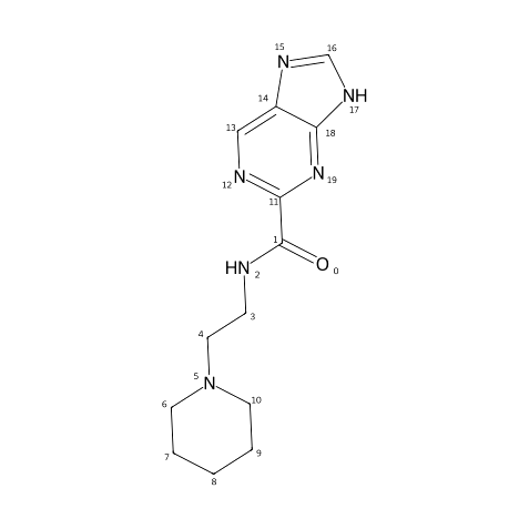 O=C(NCCN1CCCCC1)c1ncc2nc[nH]c2n1